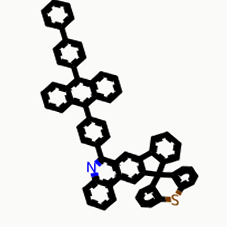 c1ccc(-c2ccc(-c3c4ccccc4c(-c4ccc(-c5nc6ccccc6c6cc7c(cc56)-c5ccccc5C75c6ccccc6Sc6ccccc65)cc4)c4ccccc34)cc2)cc1